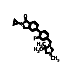 CN1CN(Cc2ccc(-c3ccc4c(c3)CN(C3CC3)C4=O)c(F)c2)C(C)(C)C1